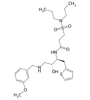 CCCN(CCC)S(=O)(=O)CCC(=O)N[C@@H](Cc1cccs1)[C@H](O)CNCc1cccc(OC)c1